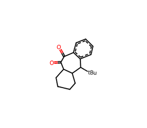 CC(C)(C)C1c2ccccc2C(=O)C(=O)C2CCCCC21